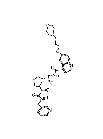 O=C(NCc1cccnc1)C(=O)C1CCCN1C(=O)CNC(=O)c1ccnc2ccc(OCCCN3CCOCC3)cc12